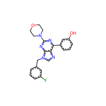 Oc1cccc(-c2nc(N3CCOCC3)nc3c2ncn3Cc2cccc(F)c2)c1